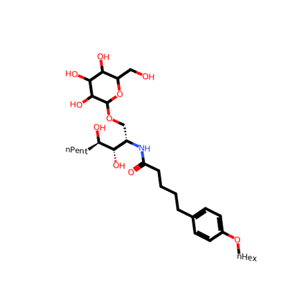 CCCCCCOc1ccc(CCCCC(=O)N[C@@H](COC2OC(CO)C(O)C(O)C2O)[C@H](O)[C@H](O)CCCCC)cc1